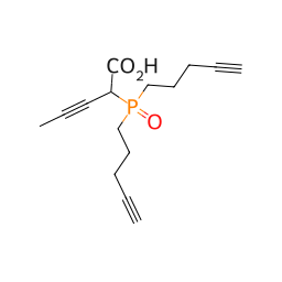 C#CCCCP(=O)(CCCC#C)C(C#CC)C(=O)O